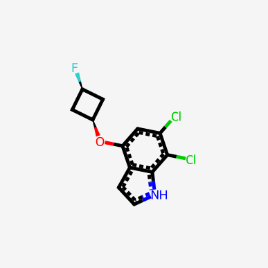 F[C@H]1C[C@@H](Oc2cc(Cl)c(Cl)c3[nH]ccc23)C1